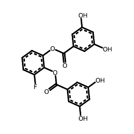 O=C(Oc1cccc(F)c1OC(=O)c1cc(O)cc(O)c1)c1cc(O)cc(O)c1